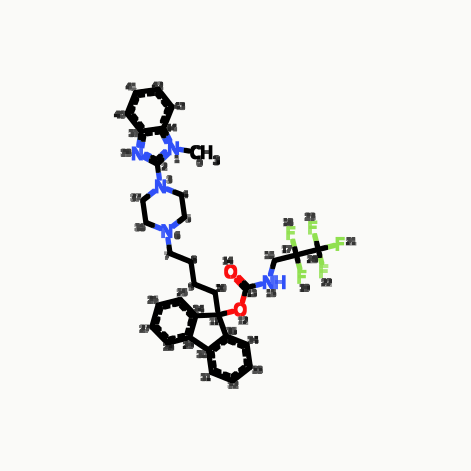 Cn1c(N2CCN(CCCCC3(OC(=O)NCC(F)(F)C(F)(F)F)c4ccccc4-c4ccccc43)CC2)nc2ccccc21